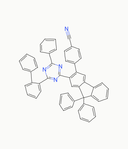 N#Cc1ccc(-c2cc3c(cc2-c2nc(-c4ccccc4)nc(-c4ccccc4-c4ccccc4)n2)C(c2ccccc2)(c2ccccc2)c2ccccc2-3)cc1